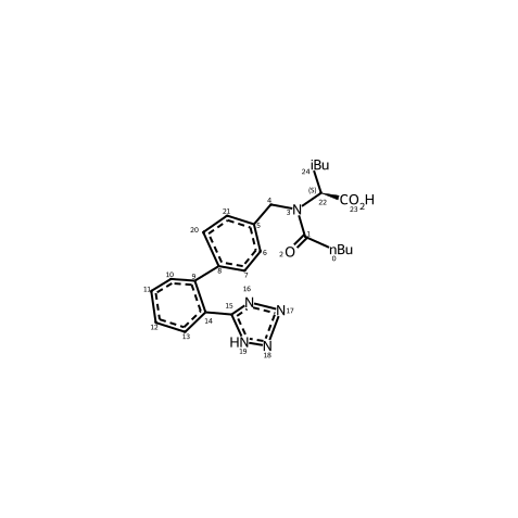 CCCCC(=O)N(Cc1ccc(-c2ccccc2-c2nnn[nH]2)cc1)[C@H](C(=O)O)C(C)CC